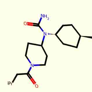 CC(C)CC(=O)N1CCC(N(C(N)=O)[C@H]2CC[C@H](C)CC2)CC1